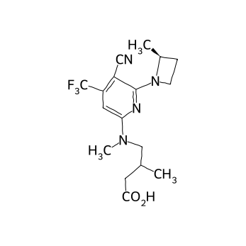 CC(CC(=O)O)CN(C)c1cc(C(F)(F)F)c(C#N)c(N2CC[C@@H]2C)n1